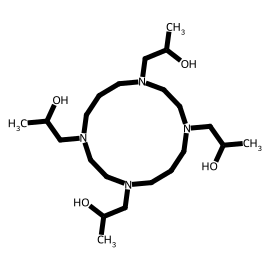 CC(O)CN1CCCN(CC(C)O)CCN(CC(C)O)CCCN(CC(C)O)CC1